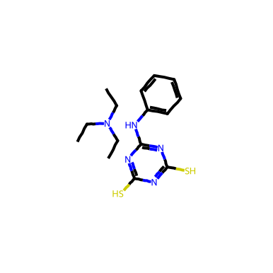 CCN(CC)CC.Sc1nc(S)nc(Nc2ccccc2)n1